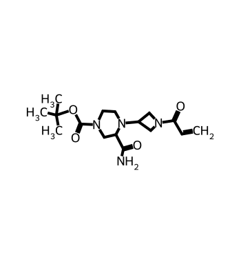 C=CC(=O)N1CC(N2CCN(C(=O)OC(C)(C)C)CC2C(N)=O)C1